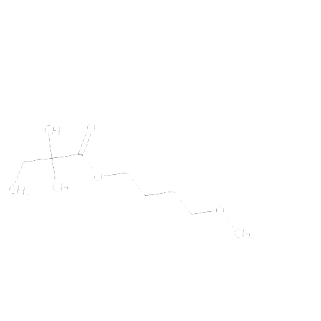 CCC(C)(C)C(=O)OCCCCOC